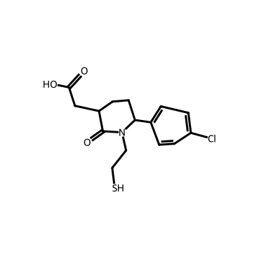 O=C(O)CC1CCC(c2ccc(Cl)cc2)N(CCS)C1=O